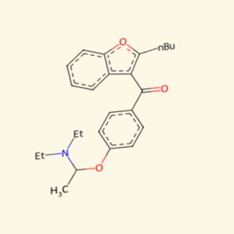 CCCCc1oc2ccccc2c1C(=O)c1ccc(OC(C)N(CC)CC)cc1